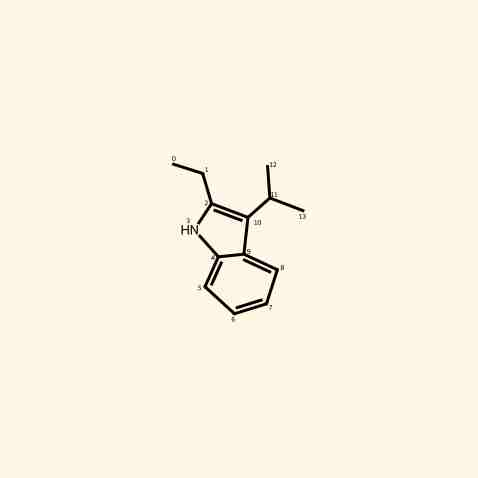 CCc1[nH]c2ccccc2c1C(C)C